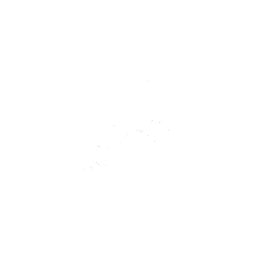 CC(C)(C)c1ccc(-c2c(C(=O)O)n(Cc3cccc(N4CCN(C(N)=O)CC4)c3)c3ccccc23)cc1